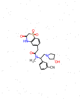 CN(C(=O)Cc1ccc2c(c1)NC(=O)CS2(=O)=O)C(CN1CC[C@H](O)C1)c1cccc(C#N)c1